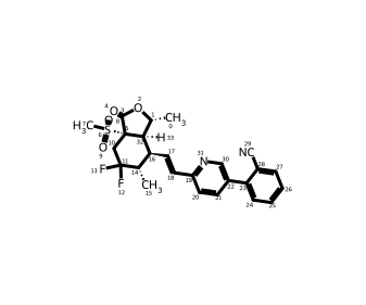 C[C@H]1OC(=O)[C@]2(S(C)(=O)=O)CC(F)(F)[C@@H](C)[C@H](/C=C/c3ccc(-c4ccccc4C#N)cn3)[C@H]12